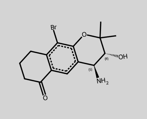 CC1(C)Oc2c(cc3c(c2Br)CCCC3=O)[C@H](N)[C@H]1O